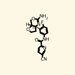 N#Cc1ccc(C(=O)Nc2ccc(F)c([C@@]34CCO[C@@H]3COC(N)=N4)c2)nc1